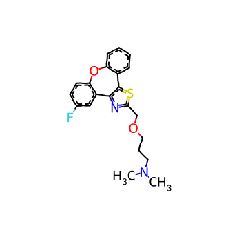 CN(C)CCCOCc1nc2c(s1)-c1ccccc1Oc1ccc(F)cc1-2